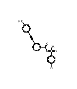 Cc1ccc(C#Cc2cncc(C(=O)N=S(C)(=O)c3ccc(Cl)cc3)c2)cc1